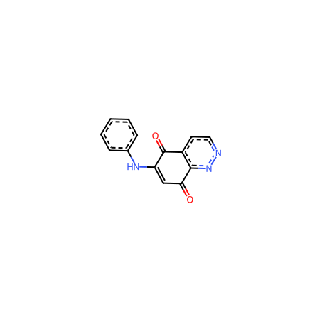 O=C1C(Nc2ccccc2)=CC(=O)c2nnccc21